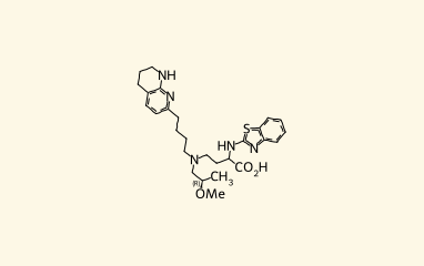 CO[C@H](C)CN(CCCCc1ccc2c(n1)NCCC2)CCC(Nc1nc2ccccc2s1)C(=O)O